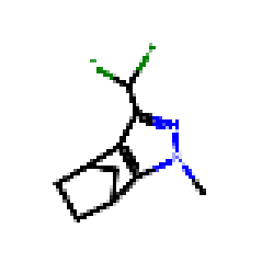 Cn1nc(C(F)F)c2c1C1CCC2C1